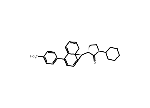 O=C(O)c1ccc(C2=CC=C3[C@H]([C@@H]4CCN(C5CCCCC5)C4=O)C34CC=CC=C24)cc1